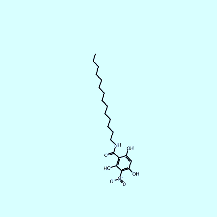 CCCCCCCCCCCCCCNC(=O)c1c(O)cc(O)c([N+](=O)[O-])c1O